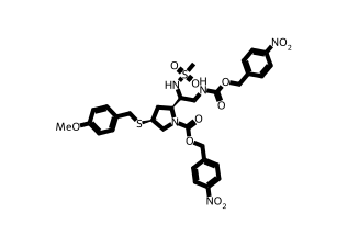 COc1ccc(CS[C@H]2C[C@@H](C(CNC(=O)OCc3ccc([N+](=O)[O-])cc3)NS(C)(=O)=O)N(C(=O)OCc3ccc([N+](=O)[O-])cc3)C2)cc1